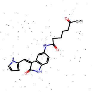 COC(=O)CCCCC(=O)Nc1ccc2c(c1)/C(=C/c1ccc[nH]1)C(=O)N2